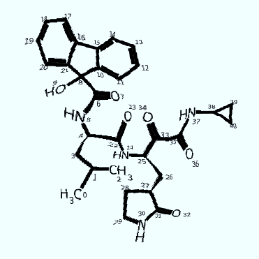 CC(C)C[C@@H](NC(=O)C1(O)c2ccccc2-c2ccccc21)C(=O)N[C@H](C[C@@H]1CCNC1=O)C(=O)C(=O)NC1CC1